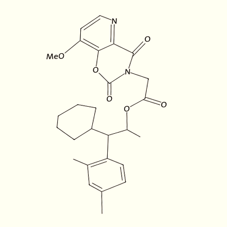 COc1ccnc2c(=O)n(CC(=O)OC(C)C(c3ccc(C)cc3C)C3CCCCC3)c(=O)oc12